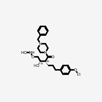 CCOc1ccc(CCC[C@@H](C(=O)N2CCN(Cc3ccccc3)CC2)[C@H](O)CONO)cc1